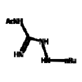 CCCCNNC(=N)NC(C)=O